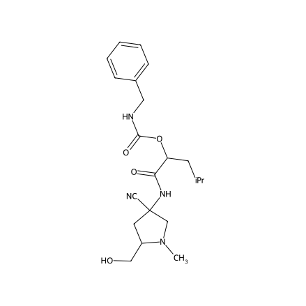 CC(C)CC(OC(=O)NCc1ccccc1)C(=O)NC1(C#N)CC(CO)N(C)C1